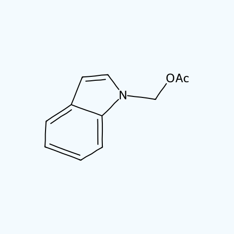 CC(=O)OCn1ccc2ccccc21